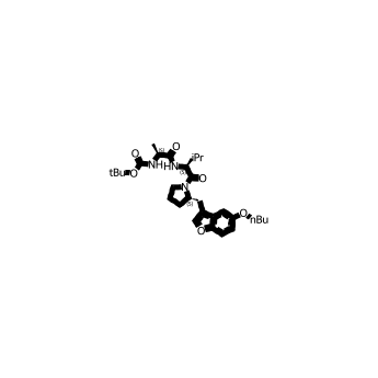 CCCCOc1ccc2occ(C[C@@H]3CCCN3C(=O)[C@@H](NC(=O)[C@H](C)NC(=O)OC(C)(C)C)C(C)C)c2c1